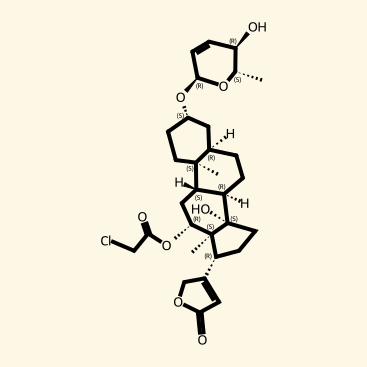 C[C@@H]1O[C@@H](O[C@H]2CC[C@@]3(C)[C@H](CC[C@@H]4[C@@H]3C[C@@H](OC(=O)CCl)[C@]3(C)[C@@H](C5=CC(=O)OC5)CC[C@]43O)C2)C=C[C@H]1O